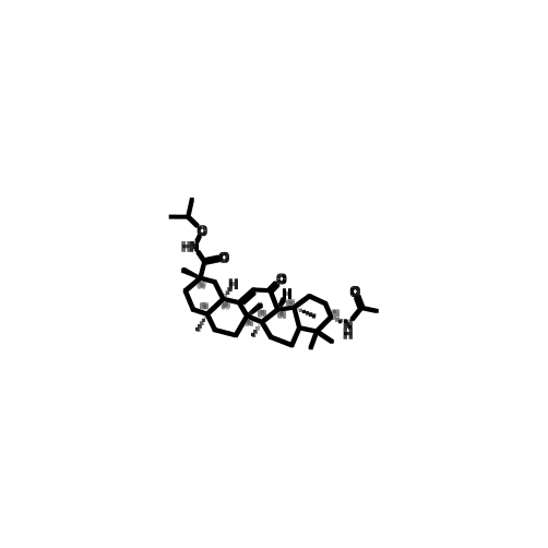 CC(=O)N[C@H]1CC[C@@]2(C)C(CC[C@]3(C)[C@@H]2C(=O)C=C2[C@@H]4C[C@@](C)(C(=O)NOC(C)C)CC[C@]4(C)CC[C@]23C)C1(C)C